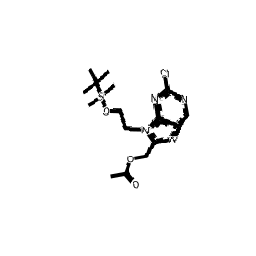 CC(=O)OCc1nc2cnc(Cl)nc2n1CCO[Si](C)(C)C(C)(C)C